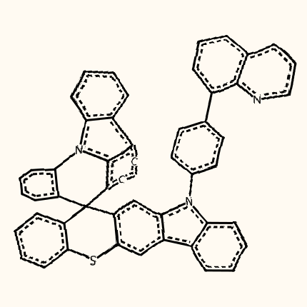 c1ccc2c(c1)Sc1cc3c4ccccc4n(-c4ccc(-c5cccc6cccnc56)cc4)c3cc1C21c2ccccc2-n2c3ccccc3c3cccc1c32